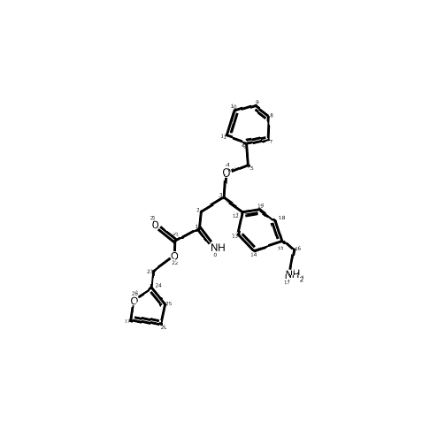 N=C(CC(OCc1ccccc1)c1ccc(CN)cc1)C(=O)OCc1ccco1